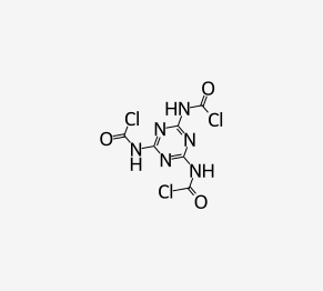 O=C(Cl)Nc1nc(NC(=O)Cl)nc(NC(=O)Cl)n1